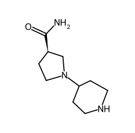 NC(=O)[C@@H]1CCN(C2CCNCC2)C1